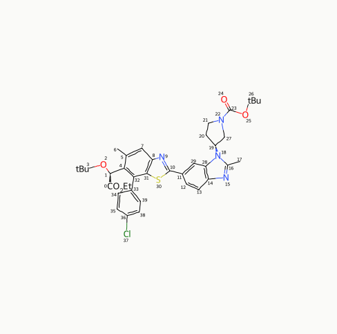 CCOC(=O)[C@@H](OC(C)(C)C)c1c(C)cc2nc(-c3ccc4nc(C)n([C@H]5CCN(C(=O)OC(C)(C)C)C5)c4c3)sc2c1-c1ccc(Cl)cc1